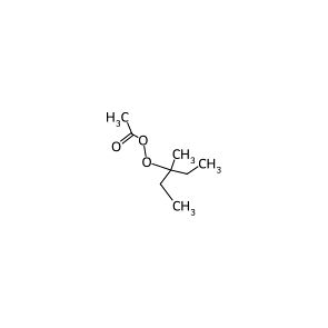 CCC(C)(CC)OOC(C)=O